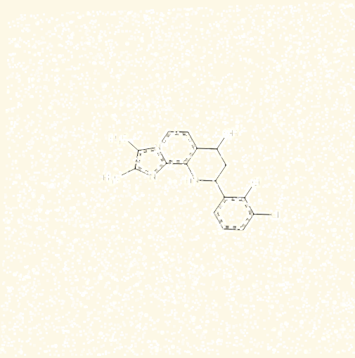 Cc1nc2c3c(ccn2c1C)C(O)CC(c1cccc(Cl)c1Cl)N3